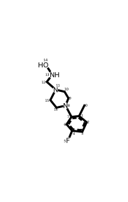 Cc1ccc(F)cc1N1CCN(CNO)CC1